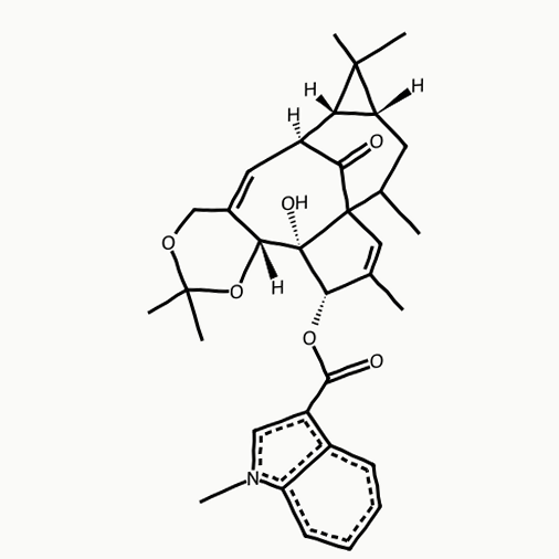 CC1=CC23C(=O)[C@@H](C=C4COC(C)(C)O[C@H]4[C@]2(O)[C@H]1OC(=O)c1cn(C)c2ccccc12)[C@H]1[C@@H](CC3C)C1(C)C